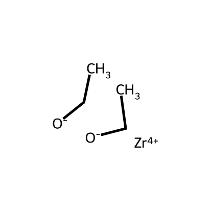 CC[O-].CC[O-].[Zr+4]